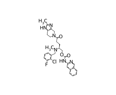 Cc1nc2c([nH]1)CCN(C(=O)CC[C@@H](COC(=O)Nc1cc3ccccc3cn1)N(C)Cc1cccc(F)c1Cl)C2